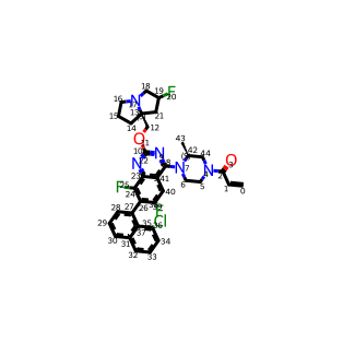 C=CC(=O)N1CCN(c2nc(OC[C@@]34CCCN3CC(F)C4)nc3c(F)c(-c4cccc5cccc(Cl)c45)c(F)cc23)[C@@H](C)C1